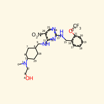 CN(CCO)C1CCC(CNc2nc(NCc3ccccc3OC(F)(F)F)ncc2[N+](=O)[O-])CC1